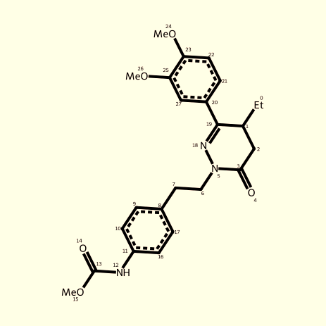 CCC1CC(=O)N(CCc2ccc(NC(=O)OC)cc2)N=C1c1ccc(OC)c(OC)c1